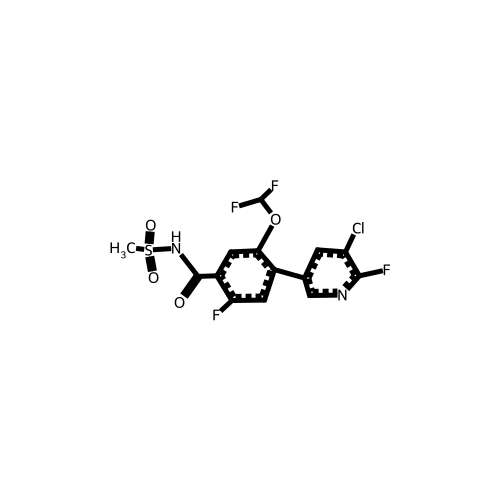 CS(=O)(=O)NC(=O)c1cc(OC(F)F)c(-c2cnc(F)c(Cl)c2)cc1F